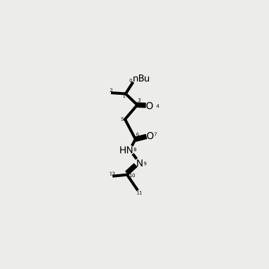 CCCCC(C)C(=O)CC(=O)NN=C(C)C